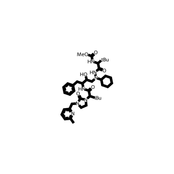 CCC(C)C(C(=O)NC(Cc1ccccc1)C(O)CN(NC(=O)C(NC(=O)OC)C(C)(C)C)C1CCCCC1)N1CCN(Cc2cccc(C)n2)C1=O